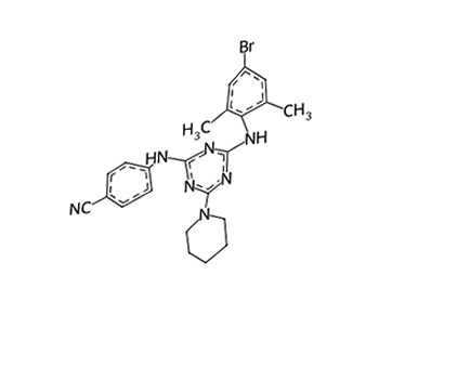 Cc1cc(Br)cc(C)c1Nc1nc(Nc2ccc(C#N)cc2)nc(N2CCCCC2)n1